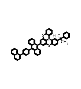 CC(C)(c1ccccc1)c1ccc2c(c1)B1c3ccccc3Sc3cc(-c4c5ccccc5c(-c5ccc(-c6cccc7ccccc67)cc5)c5ccccc45)cc(c31)S2